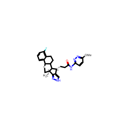 COc1ccc(NC(=O)CC[C@@H]2c3c[nH]nc3[C@@]3(C)CCC4c5cccc(F)c5CCC4C23)nn1